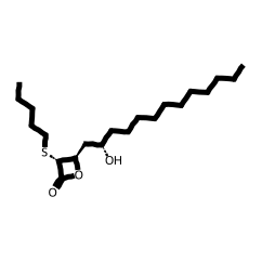 CCCCCCCCCCC[C@H](O)C[C@H]1OC(=O)[C@@H]1SCCCCC